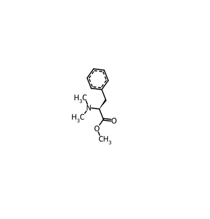 COC(=O)[C@H](Cc1ccccc1)N(C)C